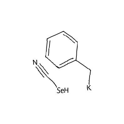 N#C[SeH].[K][CH2]c1ccccc1